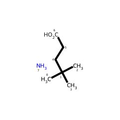 CC(C)(C)CCC(=O)O.N